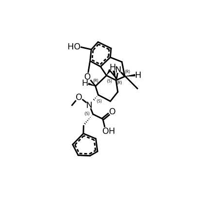 CON([C@@H](Cc1ccccc1)C(=O)O)[C@H]1CC[C@H]2[C@H]3Cc4ccc(O)c5c4[C@@]2(CCN3C)[C@H]1O5